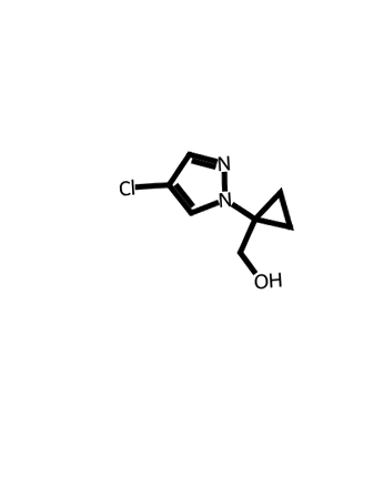 OCC1(n2cc(Cl)cn2)CC1